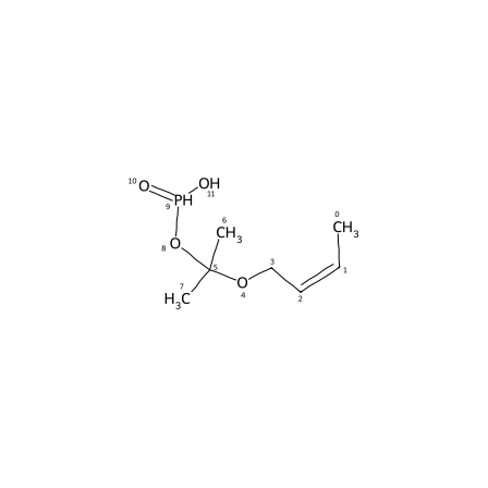 C/C=C\COC(C)(C)O[PH](=O)O